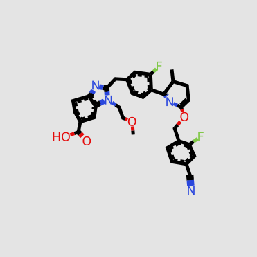 COCCn1c(Cc2ccc(C3=NC(OCc4ccc(C#N)cc4F)=CCC3C)c(F)c2)nc2ccc(C(=O)O)cc21